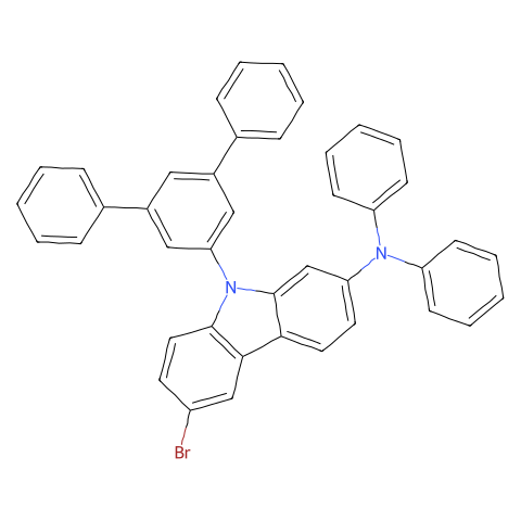 Brc1ccc2c(c1)c1ccc(N(c3ccccc3)c3ccccc3)cc1n2-c1cc(-c2ccccc2)cc(-c2ccccc2)c1